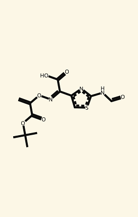 C=C(ON=C(C(=O)O)c1csc(NC=O)n1)C(=O)OC(C)(C)C